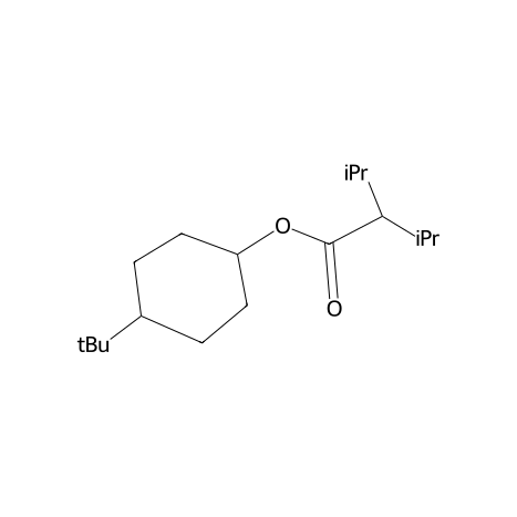 CC(C)C(C(=O)OC1CCC(C(C)(C)C)CC1)C(C)C